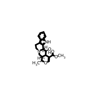 COC(=O)C1=CO[C@H](C)[C@@H]2CN3CCc4c([nH]c5ccccc45)[C@@H]3[C@@H](O)C12